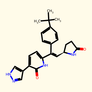 CC(C)(C)c1ccc(/C(=C\[C@H]2CCC(=O)N2)c2ccc(-c3cn[nH]c3)c(=O)[nH]2)cc1